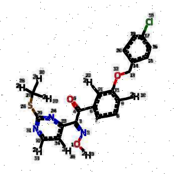 [2H]ON=C(C(=O)c1ccc([2H])c(OCc2ccc(Cl)cc2)c1[2H])c1nc(SC([2H])([2H])[2H])nc([2H])c1[2H]